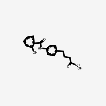 O=C(CCCc1ccc(NC(=O)c2ccccc2O)cc1)NO